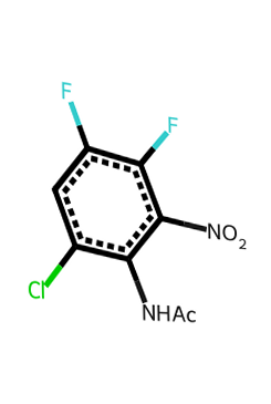 CC(=O)Nc1c(Cl)cc(F)c(F)c1[N+](=O)[O-]